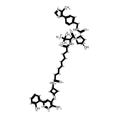 Cc1ncsc1-c1ccc(CNC(=O)[C@@H]2C[C@@H](O)CN2C(=O)C(NC(=O)CCCCCCCCC(=O)NC2CC(Oc3cc(-c4ccccc4O)nnc3N)C2)C(C)(C)C)cc1